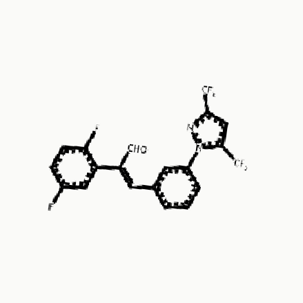 O=[C]C(=Cc1cccc(-n2nc(C(F)(F)F)cc2C(F)(F)F)c1)c1cc(F)ccc1F